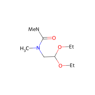 CCOC(CN(C)C(=O)NC)OCC